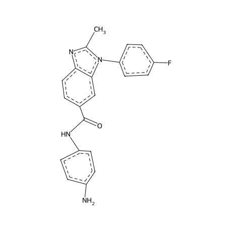 Cc1nc2ccc(C(=O)Nc3ccc(N)cc3)cc2n1-c1ccc(F)cc1